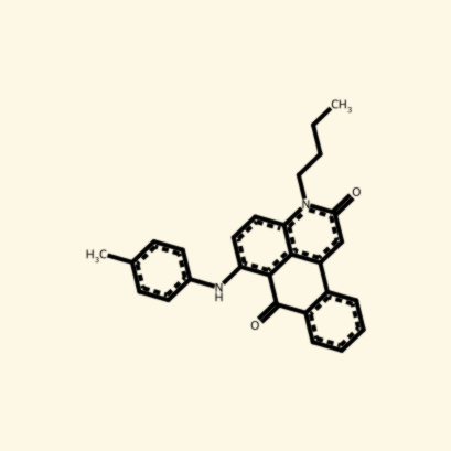 CCCCn1c(=O)cc2c3c(c(Nc4ccc(C)cc4)ccc31)C(=O)c1ccccc1-2